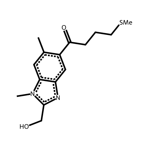 CSCCCC(=O)c1cc2nc(CO)n(C)c2cc1C